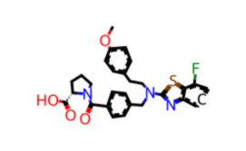 COc1ccc(CCN(Cc2ccc(C(=O)N3CCC[C@H]3C(=O)O)cc2)c2nc3cccc(F)c3s2)cc1